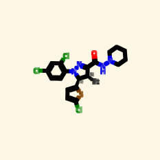 CC[C@@H]1C(C(=O)NN2CCCCC2)=NN(c2ccc(Cl)cc2Cl)[C@@H]1c1ccc(Cl)s1